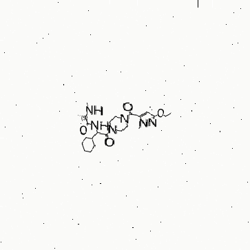 CCOc1cc(C(=O)N2CCN(C(=O)C(NC(=O)[C@H](C)NC)C3CCCCC3)CC2)n(C)n1